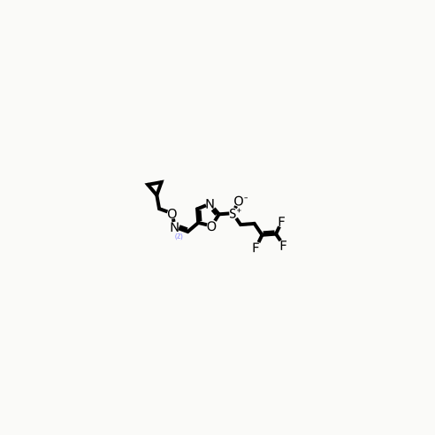 [O-][S+](CCC(F)=C(F)F)c1ncc(/C=N\OCC2CC2)o1